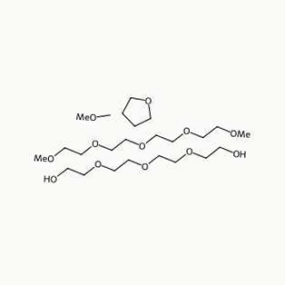 C1CCOC1.COC.COCCOCCOCCOCCOC.OCCOCCOCCOCCO